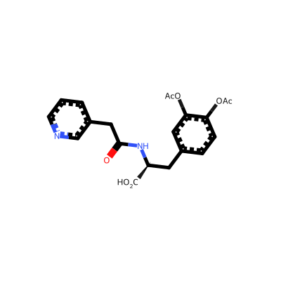 CC(=O)Oc1ccc(C[C@H](NC(=O)Cc2cccnc2)C(=O)O)cc1OC(C)=O